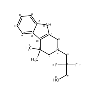 CC1(C)CN(CC(F)(F)CO)Cc2[nH]c3ccccc3c21